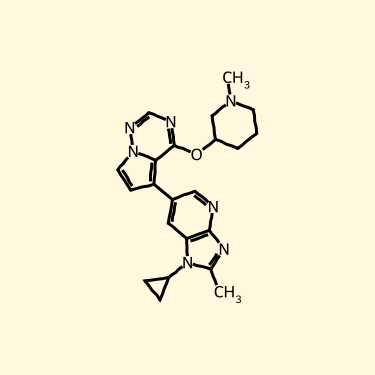 Cc1nc2ncc(-c3ccn4ncnc(OC5CCCN(C)C5)c34)cc2n1C1CC1